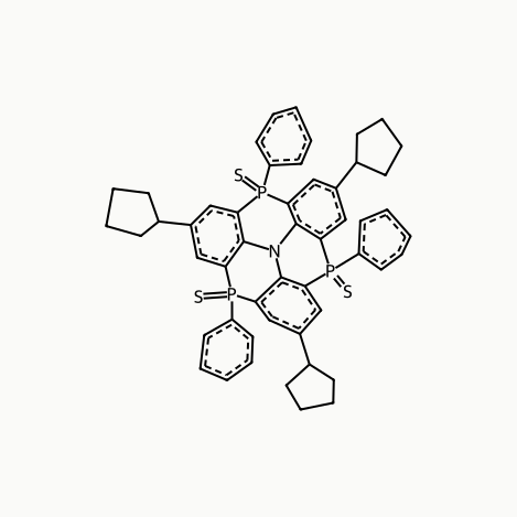 S=P1(c2ccccc2)c2cc(C3CCCC3)cc3c2N2c4c1cc(C1CCCC1)cc4P(=S)(c1ccccc1)c1cc(C4CCCC4)cc(c12)P3(=S)c1ccccc1